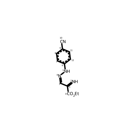 CCOC(=O)C(=N)/C=N\Nc1ccc(C#N)cc1